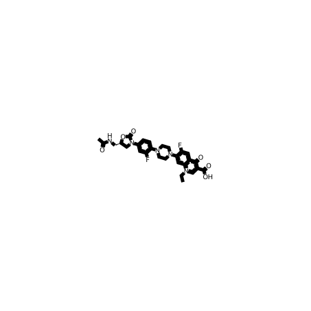 CCn1cc(C(=O)O)c(=O)c2cc(F)c(N3CCN(c4ccc(N5C[C@H](CNC(C)=O)OC5=O)cc4F)CC3)cc21